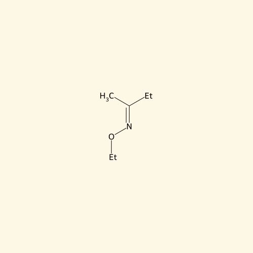 [CH2]CON=C(C)CC